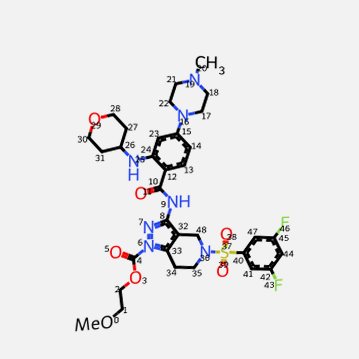 COCCOC(=O)n1nc(NC(=O)c2ccc(N3CCN(C)CC3)cc2NC2CCOCC2)c2c1CCN(S(=O)(=O)c1cc(F)cc(F)c1)C2